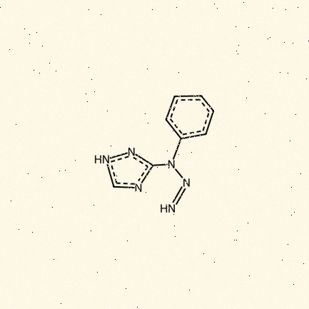 N=NN(c1ccccc1)c1nc[nH]n1